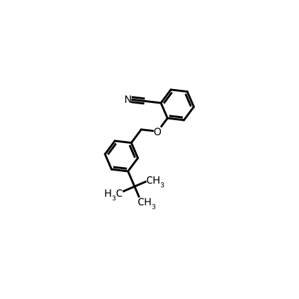 CC(C)(C)c1cccc(COc2ccccc2C#N)c1